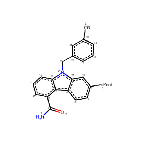 CCCCCc1c[c]c2c3c(C(N)=O)cccc3n(Cc3cccc(C#N)c3)c2c1